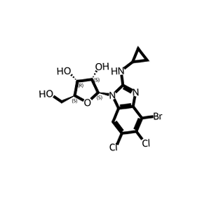 OC[C@@H]1O[C@H](n2c(NC3CC3)nc3c(Br)c(Cl)c(Cl)cc32)[C@@H](O)[C@H]1O